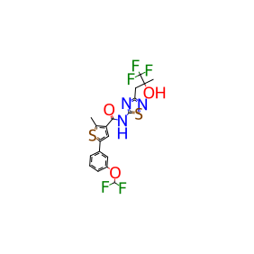 Cc1sc(-c2cccc(OC(F)F)c2)cc1C(=O)Nc1nc(CC(C)(O)C(F)(F)F)ns1